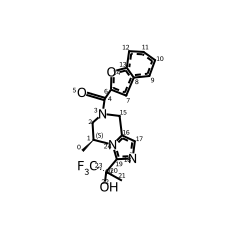 C[C@H]1CN(C(=O)c2cc3ccccc3o2)Cc2cnc([C@@](C)(O)C(F)(F)F)n21